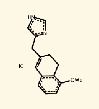 COc1cccc2c1CCC(Cc1c[nH]cn1)=C2.Cl